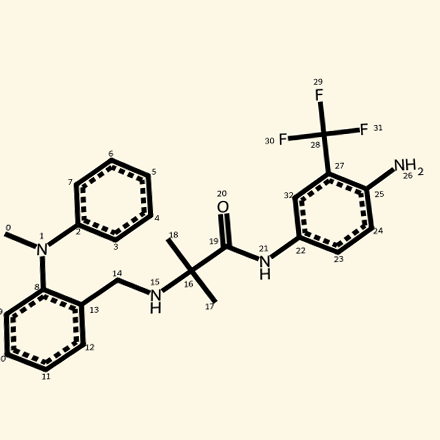 CN(c1ccccc1)c1ccccc1CNC(C)(C)C(=O)Nc1ccc(N)c(C(F)(F)F)c1